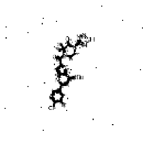 CC(C)(C)c1cc(-c2ccc(Cl)c(F)c2)nc2cc(C(=O)N3CCN(c4nn[nH]n4)C(=O)C3(C)C)oc12